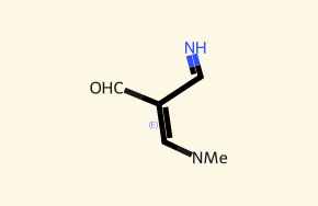 CN/C=C(\C=N)C=O